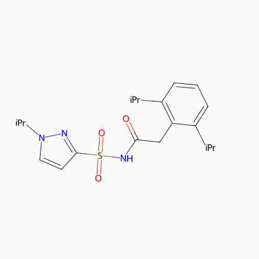 CC(C)c1cccc(C(C)C)c1CC(=O)NS(=O)(=O)c1ccn(C(C)C)n1